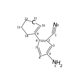 N#Cc1cc(N)ccc1C1=CCCCC1